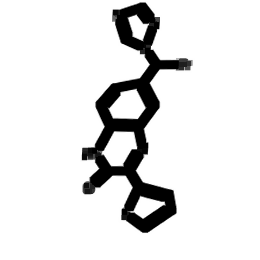 CC(C)C(c1ccc2[nH]c(=O)c(-c3cccs3)nc2c1)n1cncn1